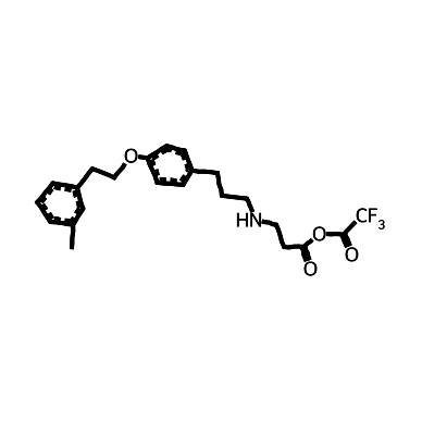 Cc1cccc(CCOc2ccc(CCCNCCC(=O)OC(=O)C(F)(F)F)cc2)c1